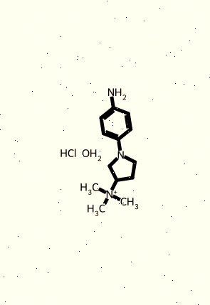 C[N+](C)(C)C1CCN(c2ccc(N)cc2)C1.Cl.O